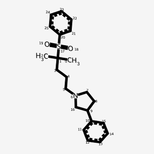 CC(C)(CCCN1CCC(c2ccccc2)C1)S(=O)(=O)c1ccccc1